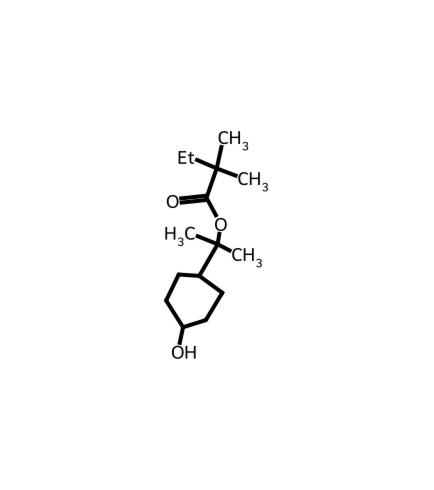 CCC(C)(C)C(=O)OC(C)(C)C1CCC(O)CC1